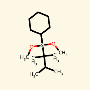 CO[Si](OC)(C1CCCCC1)C(C)(C)C(C)C